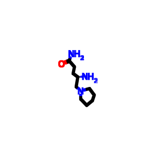 NC(=O)CC[C@H](N)CN1CCCCC1